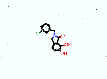 O=C1c2c(ccc(O)c2O)CN1Cc1cccc(Cl)c1